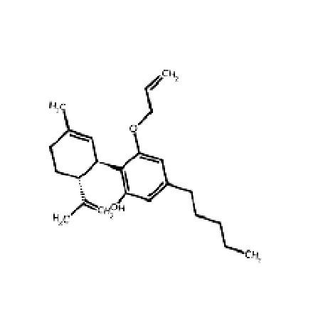 C=CCOc1cc(CCCCC)cc(O)c1[C@@H]1C=C(C)CC[C@H]1C(=C)C